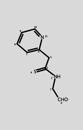 O=[C]CNC(=S)Cc1ccccn1